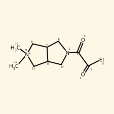 CCC(=O)C(=O)N1CC2C[N+](C)(C)CC2C1